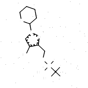 CC(C)(C)[Si](C)(C)OCc1nn(C2CCCCO2)cc1Br